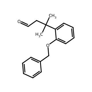 CC(C)(CC=O)c1ccccc1OCc1ccccc1